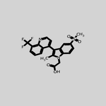 Cc1c(-c2ccnc3c(C(F)(F)F)cccc23)c2cc(S(C)(=O)=O)ccc2n1CC(=O)O